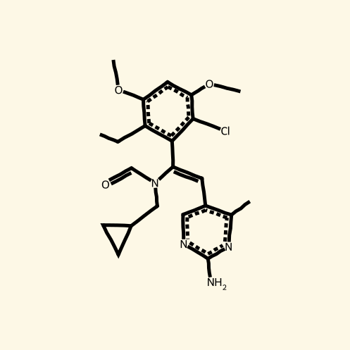 CCc1c(OC)cc(OC)c(Cl)c1/C(=C/c1cnc(N)nc1C)N(C=O)CC1CC1